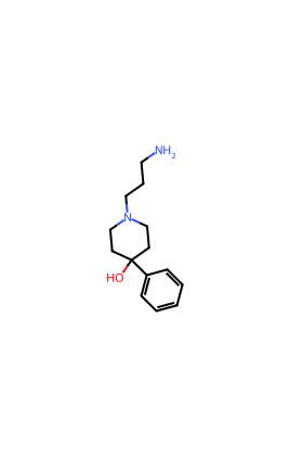 NCCCN1CCC(O)(c2ccccc2)CC1